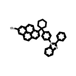 CC(C)(C)c1cc2ccc3ccc(C4(c5ccc(-n6c(-c7ccccc7)nc7ccccc76)cc5)CCCCC4)c4ccc(c1)c2c34